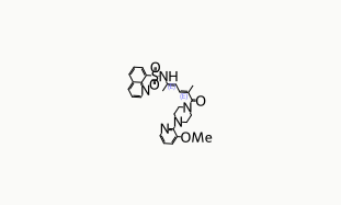 COc1cccnc1N1CCN(C(=O)/C(C)=C/C=C(\C)NS(=O)(=O)c2cccc3cccnc23)CC1